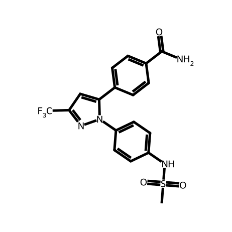 CS(=O)(=O)Nc1ccc(-n2nc(C(F)(F)F)cc2-c2ccc(C(N)=O)cc2)cc1